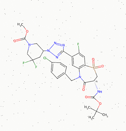 COC(=O)N1CC(n2nnc(-c3cc4c(cc3F)S(=O)(=O)C[C@H](NC(=O)OC(C)(C)C)C(=O)N4Cc3ccc(Cl)cc3)n2)CC(F)(F)C1